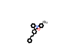 CC(C)(C)c1ccc2oc(C3(c4ccccc4)C=CC(C=Cc4ccccc4)=CC3)nc2c1